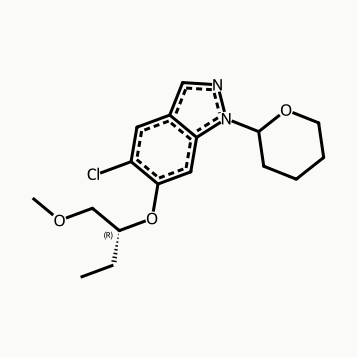 CC[C@H](COC)Oc1cc2c(cnn2C2CCCCO2)cc1Cl